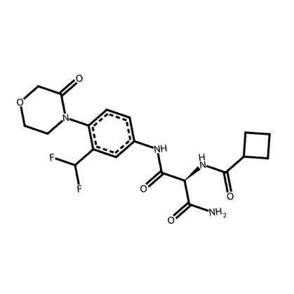 NC(=O)[C@H](NC(=O)C1CCC1)C(=O)Nc1ccc(N2CCOCC2=O)c(C(F)F)c1